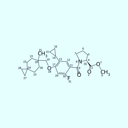 COC(=O)[C@@H]1CCCN1C(=O)c1cc(C2CC2)c(OCC2(C)CCC3(CC2)CC3)cc1F